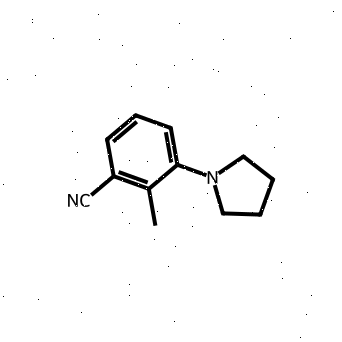 Cc1c(C#N)cccc1N1CCCC1